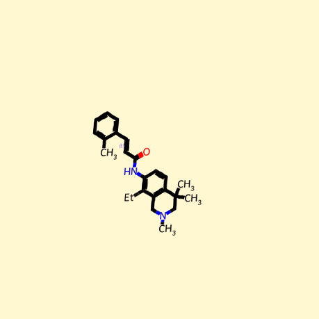 CCc1c(NC(=O)/C=C/c2ccccc2C)ccc2c1CN(C)CC2(C)C